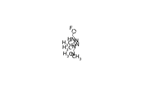 Cc1c(C)n(CCCN(C)C)c2ncnc(NCCc3cccc(F)c3)c12